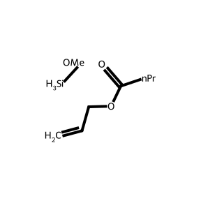 C=CCOC(=O)CCC.CO[SiH3]